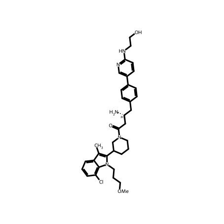 COCCCn1c(C2CCCN(C(=O)C[C@H](N)Cc3ccc(-c4ccc(NCCO)nc4)cc3)C2)c(C)c2cccc(Cl)c21